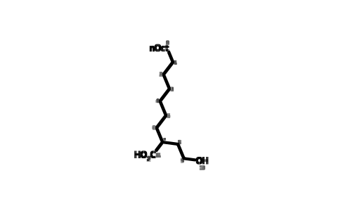 CCCCCCCCCCCCCCC(CCO)C(=O)O